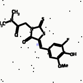 COc1cc(/C=C2\SC(=S)N(CC(=O)N(C)C)C2=O)cc(F)c1O